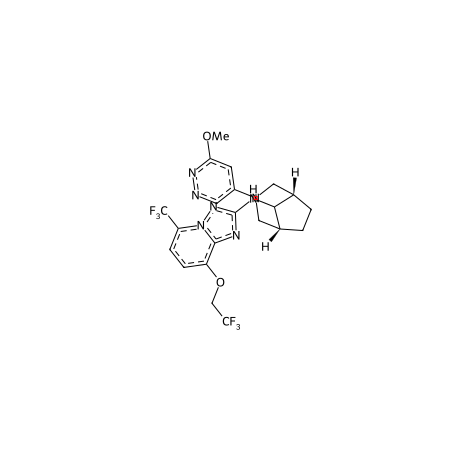 COc1cc(N2C[C@H]3CC[C@@H](C2)C3Nc2nc3c(OCC(F)(F)F)ccc(C(F)(F)F)n3n2)cnn1